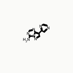 Nc1ncnc2c(-c3cnccn3)cnn12